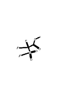 O=C(OI)C(F)(F)S(=O)(=O)F